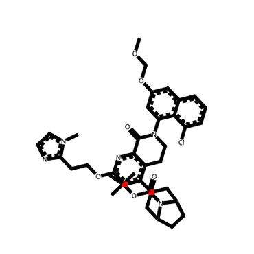 COCOc1cc(N2CCc3c(nc(OCCc4nccn4C)nc3N3CC4CCC(C3)N4C(=O)OC(C)(C)C)C2=O)c2c(Cl)cccc2c1